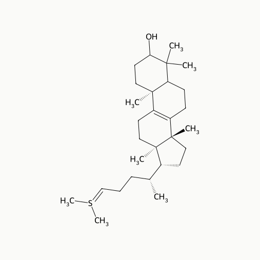 C[C@H](CCC=S(C)C)[C@H]1CC[C@@]2(C)C3=C(CC[C@]12C)[C@@]1(C)CCC(O)C(C)(C)C1CC3